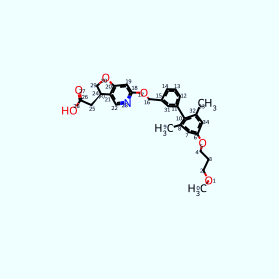 COCCCOc1cc(C)c(-c2cccc(COc3cc4c(cn3)[C@@H](CC(=O)O)CO4)c2)c(C)c1